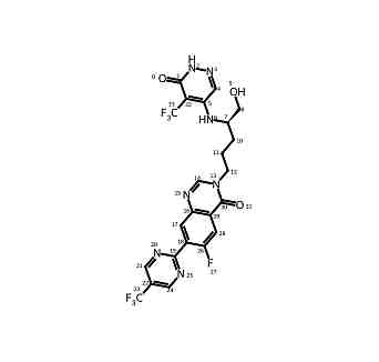 O=c1[nH]ncc(N[C@@H](CO)CCCn2cnc3cc(-c4ncc(C(F)(F)F)cn4)c(F)cc3c2=O)c1C(F)(F)F